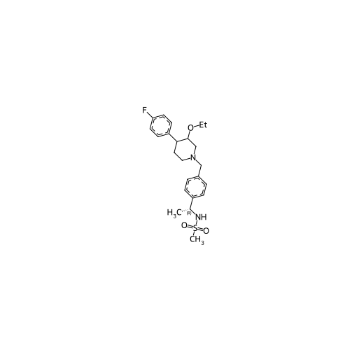 CCOC1CN(Cc2ccc([C@@H](C)NS(C)(=O)=O)cc2)CCC1c1ccc(F)cc1